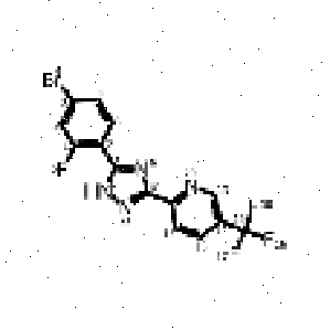 Fc1cc(Br)ccc1-c1nc(-c2ccc(C(F)(F)F)cn2)n[nH]1